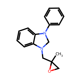 CC1(CN2CN(c3ccccc3)c3ccccc32)CO1